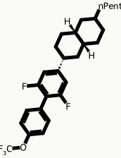 CCCCCC1CC[C@@H]2C[C@H](c3cc(F)c(-c4ccc(OC(F)(F)F)cc4)c(F)c3)CC[C@@H]2C1